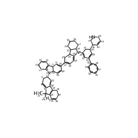 CC1(C)C2=CCC(N3C4=C(C=CCC4)C4C=C(C5=CC=C6C(C5)C5CCCCC5N6C5=CC(c6ccccc6)=CC(C6C=CCNC6)C5)C=CC43)C=C2C2=C1C=CCC2